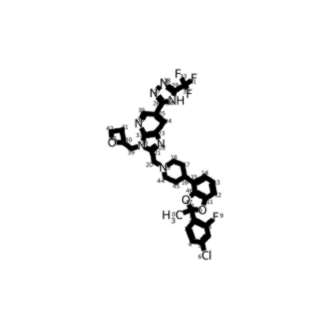 CC1(c2ccc(Cl)cc2F)Oc2cccc(C3CCN(Cc4nc5cc(-c6nnc(C(F)(F)F)[nH]6)cnc5n4CC4CCO4)CC3)c2O1